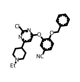 CCN1CCC(c2cc(Oc3cc(C#N)ccc3OCc3ccccc3)nc(Cl)n2)CC1